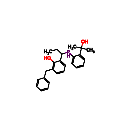 CCC(Pc1ccccc1C(C)(C)O)c1cccc(Cc2ccccc2)c1O